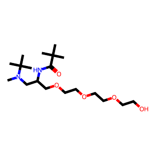 CN(CC(COCCOCCOCCO)NC(=O)C(C)(C)C)C(C)(C)C